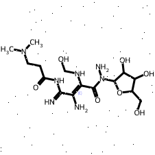 CN(C)CCC(=O)NC(=N)/C(N)=C(\NCO)C(=O)N(N)C1OC(CO)C(O)C1O